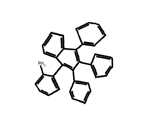 Pc1ccccc1-c1c(-c2ccccc2)c(-c2ccccc2)c(-c2ccccc2)c2ccccc12